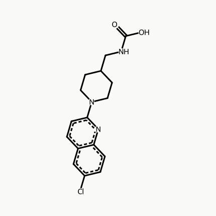 O=C(O)NCC1CCN(c2ccc3cc(Cl)ccc3n2)CC1